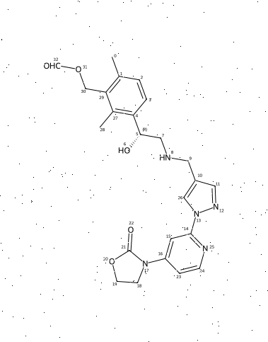 Cc1ccc([C@@H](O)CNCc2cnn(-c3cc(N4CCOC4=O)ccn3)c2)c(C)c1COC=O